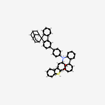 c1ccc(-c2ccccc2N(c2ccc(-c3ccc4c(c3)-c3ccccc3C43C4CC5CC(C4)CC3C5)cc2)c2ccc3sc4ccccc4c3c2)cc1